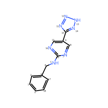 c1ccc(CNc2ncc(-c3nn[nH]n3)cn2)cc1